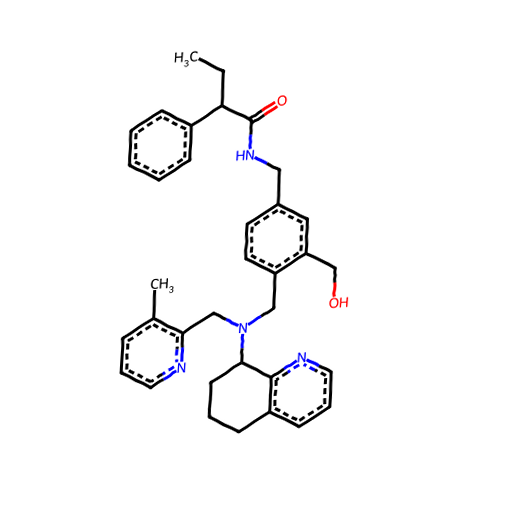 CCC(C(=O)NCc1ccc(CN(Cc2ncccc2C)C2CCCc3cccnc32)c(CO)c1)c1ccccc1